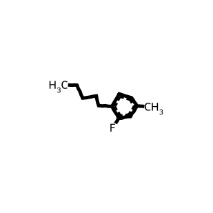 CCCCCc1ccc(C)cc1F